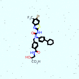 O=C(NC[C@@H](O)C(=O)O)c1ccc(CN(C(=O)Nc2nc3cc(C(F)(F)F)c(Br)cc3s2)c2ccc(C3CCCCC3)cc2)cc1